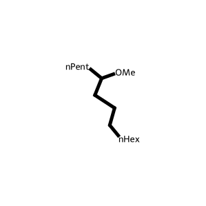 CCCCCCCCCC(CCCCC)OC